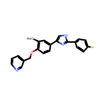 COc1cc(-c2c[nH]c(-c3ccc(F)cc3)n2)ccc1OCc1cccnc1